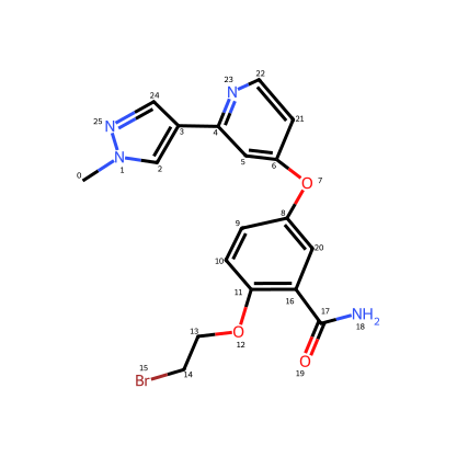 Cn1cc(-c2cc(Oc3ccc(OCCBr)c(C(N)=O)c3)ccn2)cn1